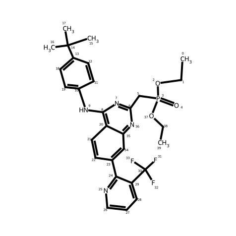 CCOP(=O)(Cc1nc(Nc2ccc(C(C)(C)C)cc2)c2ccc(-c3ncccc3C(F)(F)F)cc2n1)OCC